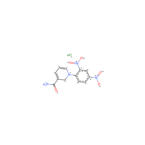 Cl.NC(=O)C1=CC=CN(c2ccc([N+](=O)[O-])cc2[N+](=O)[O-])C1